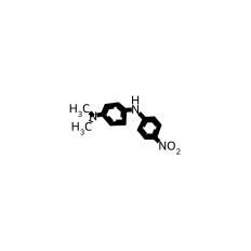 CN(C)c1ccc(Nc2ccc([N+](=O)[O-])cc2)cc1